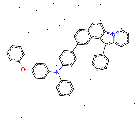 c1ccc(Oc2ccc(N(c3ccccc3)c3ccc(-c4ccc5ccc6c(c(-c7ccccc7)c7ccccn76)c5c4)cc3)cc2)cc1